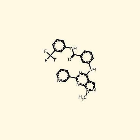 Cn1ncc2c(Nc3cccc(C(=O)Nc4cccc(C(F)(F)F)c4)c3)nc(-c3cccnc3)nc21